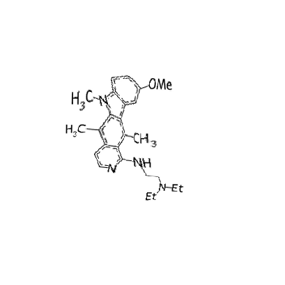 CCN(CC)CCNc1nccc2c(C)c3c(c(C)c12)c1cc(OC)ccc1n3C